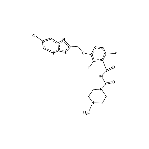 CN1CCN(C(=O)NC(=O)c2c(F)ccc(OCc3nc4cc(Cl)cnc4s3)c2F)CC1